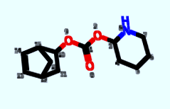 O=C(OC1CCCCN1)OC1CC2C=CC1C2